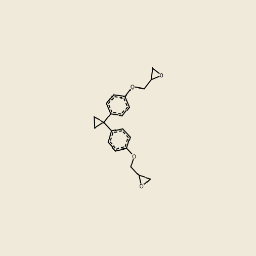 c1cc(C2(c3ccc(OCC4CO4)cc3)CC2)ccc1OCC1CO1